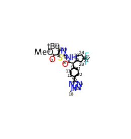 COC(=O)c1sc(NC(=O)[C@H](c2ccc(-c3nnn(C)n3)cc2)[C@H]2CCC(F)(F)C2)nc1C(C)(C)C